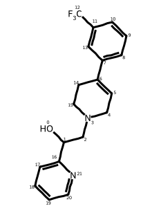 OC(CN1CC=C(c2cccc(C(F)(F)F)c2)CC1)c1ccccn1